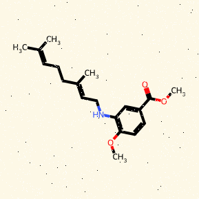 COC(=O)c1ccc(OC)c(NC/C=C(\C)CCC=C(C)C)c1